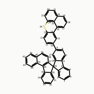 c1ccc2c(c1)-c1ccc(-c3ccc4c(c3)-c3cccc5cccc(c35)S4)cc1C21c2ccccc2-c2c1ccc1ccccc21